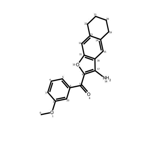 COc1cccc(C(=O)c2oc3cc4c(cc3c2N)CCCC4)c1